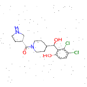 O=C([C@@H]1CCNC1)N1CCC([C@@H](O)c2c(O)ccc(Cl)c2Cl)CC1